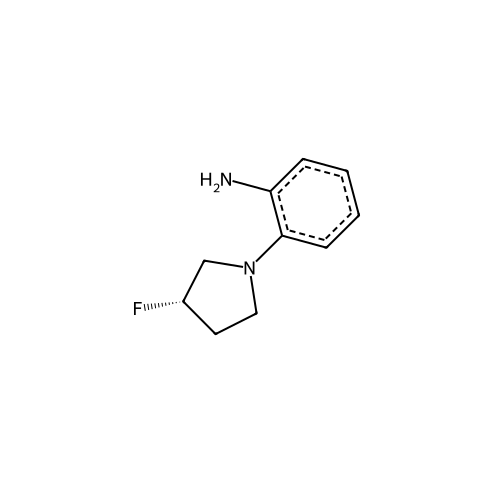 Nc1ccccc1N1CC[C@H](F)C1